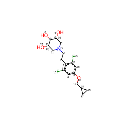 OC1[C@H](O)CN(CCc2c(F)cc(OCC3CC3)cc2F)C[C@@H]1O